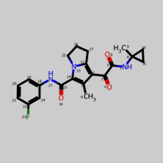 Cc1c(C(=O)C(=O)NC2(C)CC2)c2n(c1C(=O)Nc1cccc(F)c1)CCC2